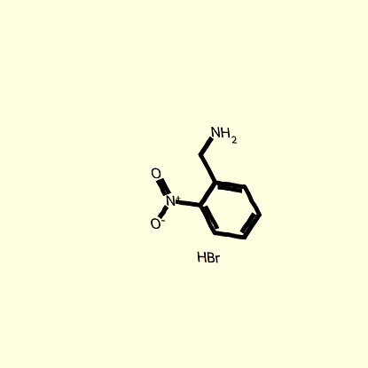 Br.NCc1ccccc1[N+](=O)[O-]